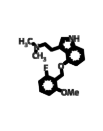 COc1cccc(F)c1COc1cccc2[nH]cc(CCN(C)C)c12